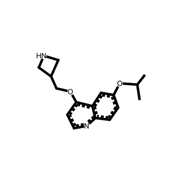 CC(C)Oc1ccc2nccc(OCC3CNC3)c2c1